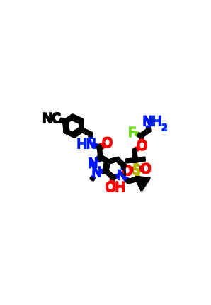 Cn1nc(C(=O)NCc2ccc(C#N)cc2)c2c1C(O)N(CC1(S(=O)(=O)C(C)(C)COC(F)CN)CC1)CC2